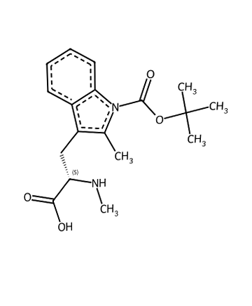 CN[C@@H](Cc1c(C)n(C(=O)OC(C)(C)C)c2ccccc12)C(=O)O